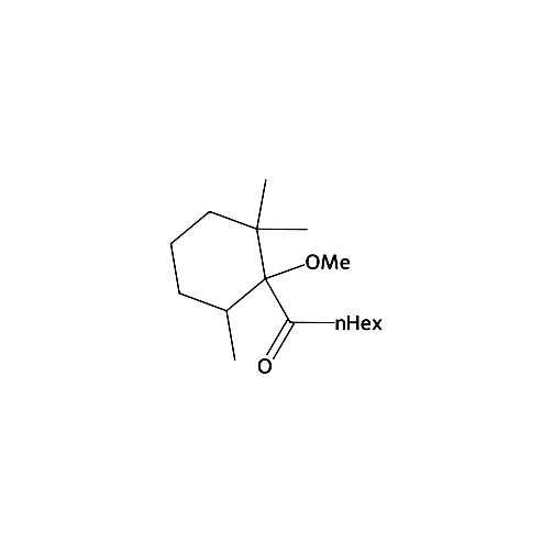 CCCCCCC(=O)C1(OC)C(C)CCCC1(C)C